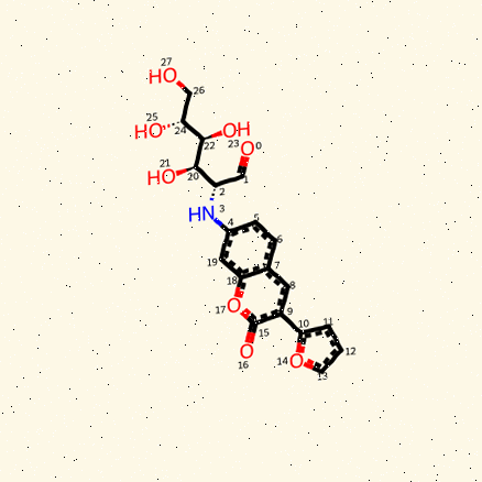 O=C[C@H](Nc1ccc2cc(-c3ccco3)c(=O)oc2c1)[C@@H](O)[C@H](O)[C@H](O)CO